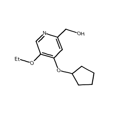 CCOc1cnc(CO)cc1OC1CCCC1